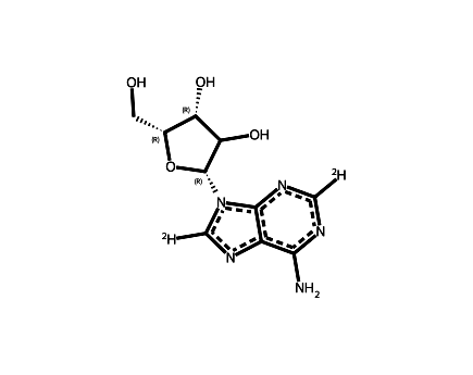 [2H]c1nc(N)c2nc([2H])n([C@@H]3O[C@H](CO)[C@H](O)C3O)c2n1